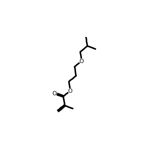 C=C(C)C(=O)OCCCOCC(C)C